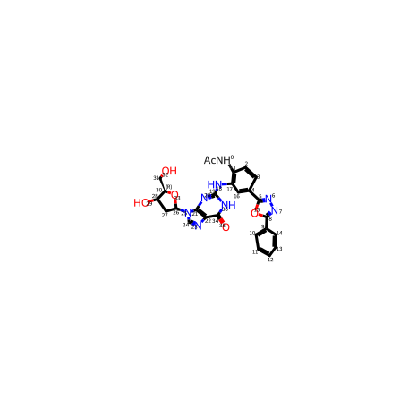 CC(=O)Nc1ccc(-c2nnc(-c3ccccc3)o2)cc1Nc1nc2c(ncn2C2CC(O)[C@@H](CO)O2)c(=O)[nH]1